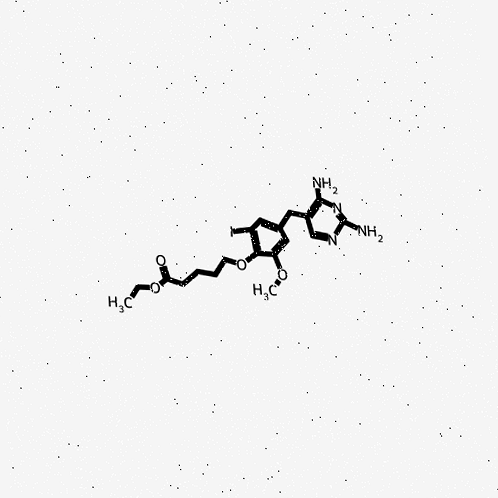 CCOC(=O)CCCCOc1c(I)cc(Cc2cnc(N)nc2N)cc1OC